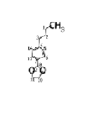 CCCCc1ccc(C2OCCO2)cc1